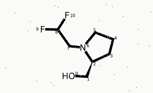 OC[C@@H]1CCCN1CC(F)F